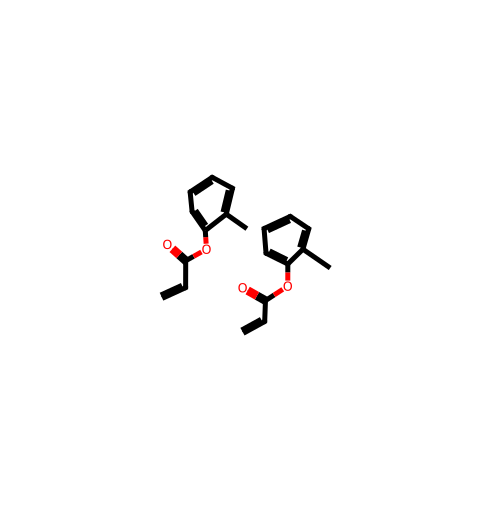 C=CC(=O)Oc1ccccc1C.C=CC(=O)Oc1ccccc1C